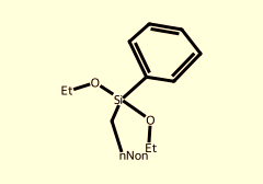 CCCCCCCCCC[Si](OCC)(OCC)c1ccccc1